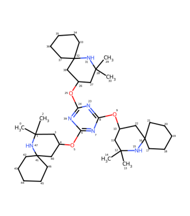 CC1(C)CC(Oc2nc(OC3CC(C)(C)NC4(CCCCC4)C3)nc(OC3CC(C)(C)NC4(CCCCC4)C3)n2)CC2(CCCCC2)N1